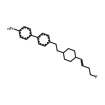 CCCc1ccc(-c2ccc(CCC3CCC(/C=C/CCF)CC3)cc2)cc1